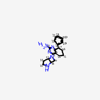 Nc1nc2c(c(N3CC4NCCC43)n1)CCCC2c1ccccc1